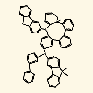 CC12CC=CC=C1N(c1ccc3sc4ccccc4c3c1)c1ccc(N(c3cccc(-c4ccccc4)c3)c3ccc4c(c3)-c3ccccc3C4(C)C)cc1-c1ccccc1-c1ccccc12